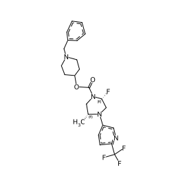 C[C@@H]1CN(C(=O)OC2CCN(Cc3ccccc3)CC2)[C@H](F)CN1c1ccc(C(F)(F)F)nc1